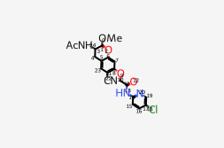 COC(=O)C(Cc1ccc(OCC(=O)Nc2ccc(Cl)cn2)c(C#N)c1)NC(C)=O